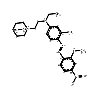 CCN(CC[N+]12CCN(CC1)CC2)c1ccc(N=Nc2ccc([N+](=O)[O-])cc2OC)c(C)c1